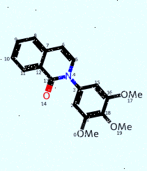 COc1cc(-n2ccc3ccccc3c2=O)cc(OC)c1OC